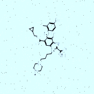 Cc1cc(Br)ccc1Nc1c(C(=O)OCC2CC2)cc2c(nc(C(N)=O)n2CCCCN2CCN(C)CC2)c1F